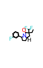 CCC1(C(F)F)C[C@@H]2CCC(c3cccc(F)c3)N2C1=O